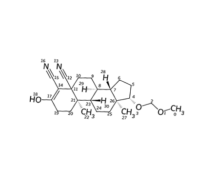 COCO[C@H]1CC[C@H]2[C@@H]3CCC4(C#N)C(C#N)=C(O)CC[C@]4(C)[C@H]3CC[C@]12C